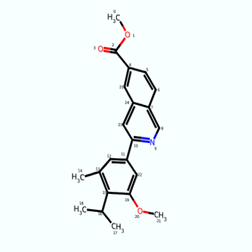 COC(=O)c1ccc2cnc(-c3cc(C)c(C(C)C)c(OC)c3)cc2c1